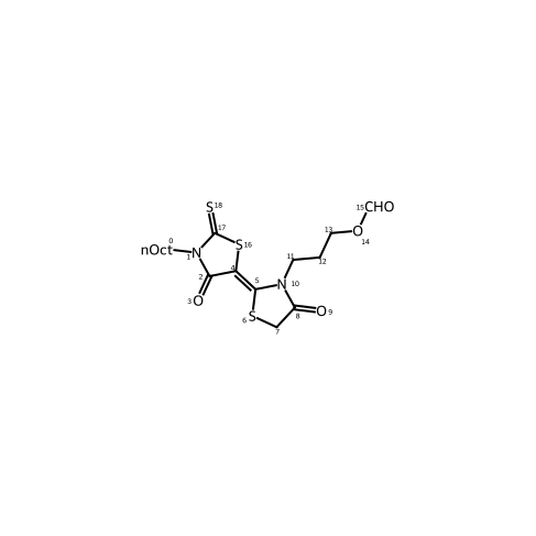 CCCCCCCCN1C(=O)/C(=C2\SCC(=O)N2CCCOC=O)SC1=S